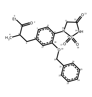 CCC(=O)C(C)Cc1ccc(N2CC(=O)NS2(=O)=O)c(OCc2ccccc2)c1